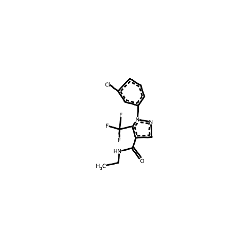 CCNC(=O)c1cnn(-c2cccc(Cl)c2)c1C(F)(F)F